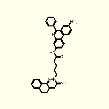 N=c1cc2c(nn1CCCCC(=O)Nc1ccc3c(c1)nc(-c1ccccc1)c1cc(N)ccc13)-c1ccccc1CC2